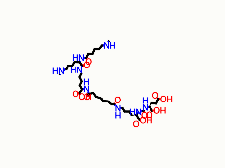 CNCCCCCC(=O)NC(CCCCNC)C(=O)NCCCCC(NC(=O)CCCCCCC(=O)NCCCC[C@H](NC(=O)N[C@@H](CCC(=O)O)C(=O)O)C(=O)O)C(=O)O